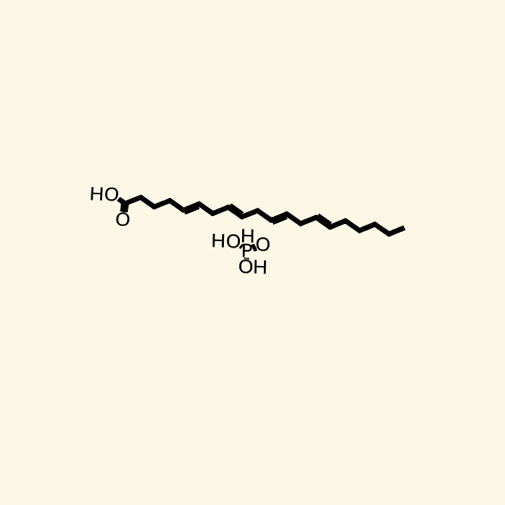 CCCCCC=CCC=CCC=CCC=CCCCC(=O)O.O=[PH](O)O